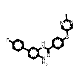 Cc1ncc(Sc2ccc(C(=O)Nc3cc(-c4ccc(F)cc4)ccc3N)cc2)cn1